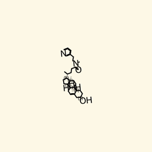 CC(CCC(=O)N(C)CCc1cccnc1)[C@H]1CC[C@H]2[C@@H]3CC=C4C[C@@H](O)CC[C@]4(C)[C@H]3CC[C@]12C